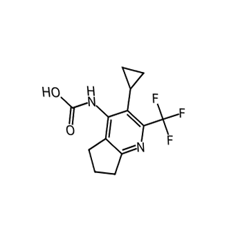 O=C(O)Nc1c2c(nc(C(F)(F)F)c1C1CC1)CCC2